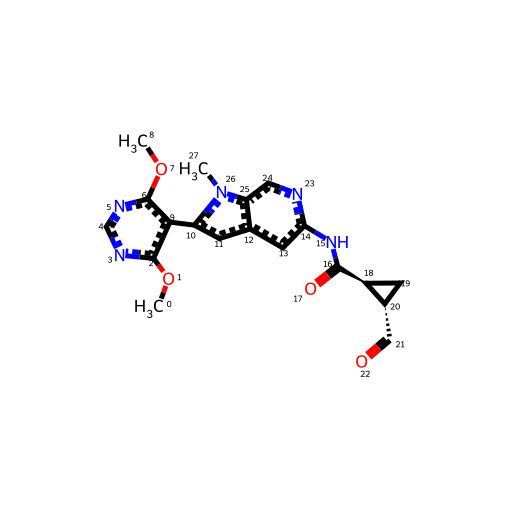 COc1ncnc(OC)c1-c1cc2cc(NC(=O)[C@H]3C[C@@H]3C=O)ncc2n1C